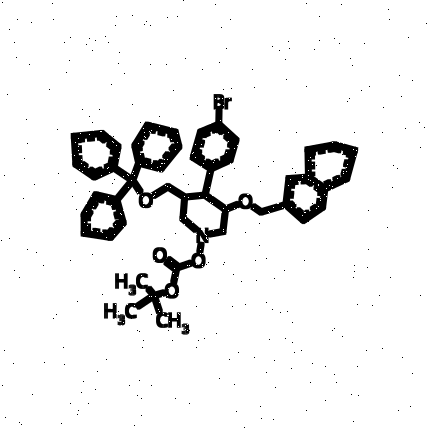 CC(C)(C)OC(=O)ON1CC(COC(c2ccccc2)(c2ccccc2)c2ccccc2)C(c2ccc(Br)cc2)C(OCc2ccc3ccccc3c2)C1